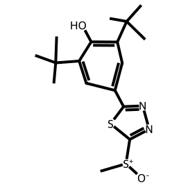 C[S+]([O-])c1nnc(-c2cc(C(C)(C)C)c(O)c(C(C)(C)C)c2)s1